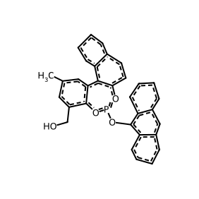 Cc1cc(CO)c2op(Oc3c4ccccc4cc4ccccc34)oc3ccc4ccccc4c3c2c1